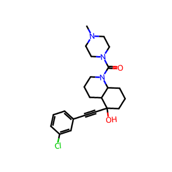 CN1CCN(C(=O)N2CCCC3C2CCCC3(O)C#Cc2cccc(Cl)c2)CC1